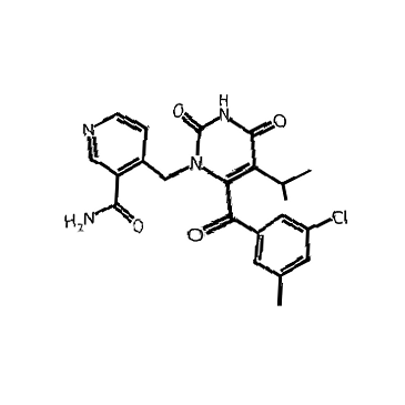 Cc1cc(Cl)cc(C(=O)c2c(C(C)C)c(=O)[nH]c(=O)n2Cc2ccncc2C(N)=O)c1